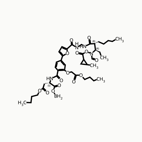 BOC(=O)[C@H](CC(=O)OCCCC)NC(=O)c1ccc(-c2ccc(C(=O)NCNC(=O)[C@H](CCCCC)[C@@H](CC)N(C=O)OC(=O)C3CC3C)o2)cc1OCC(=O)OCCCC